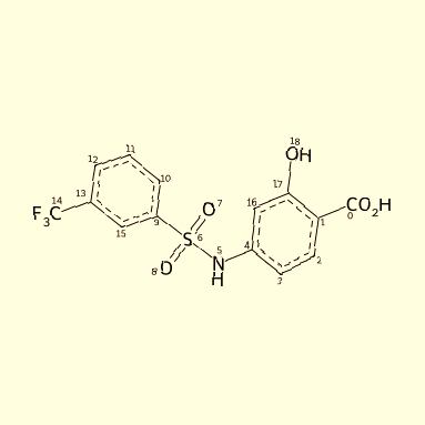 O=C(O)c1ccc(NS(=O)(=O)c2cccc(C(F)(F)F)c2)cc1O